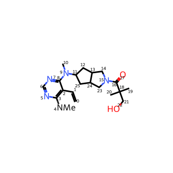 C=Cc1c(NC)ncnc1N(C)C1CC2CN(C(=O)C(C)(C)CO)CC2C1